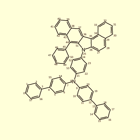 c1ccc(-c2ccc(N(c3ccc(-c4ccccc4)cc3)c3ccc(-n4c5ccc6ccccc6c5c5cc6ccccc6c(-c6ccccc6)c54)cc3)cc2)cc1